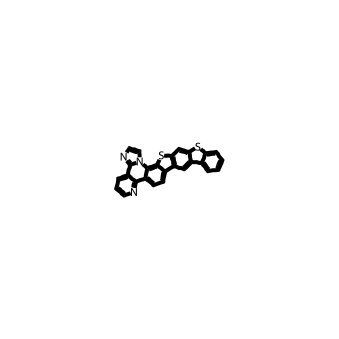 c1ccc2c(c1)sc1cc3sc4c(ccc5c6ncccc6c6nccn6c54)c3cc12